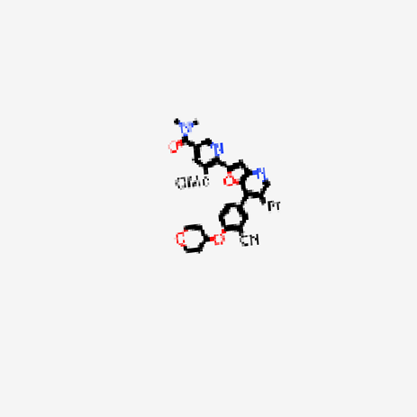 COc1cc(C(=O)N(C)C)cnc1-c1cc2ncc(C(C)C)c(-c3ccc(OC4CCOCC4)c(C#N)c3)c2o1